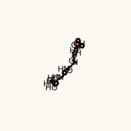 CN(CCCCC(=O)Nc1ccc(CNC[C@H](O)c2ccc(O)c3[nH]c(=O)sc23)cc1)C(=O)CCN1C[C@H]2CC(N(C(=O)O)c3ccccc3-c3ccccc3)C[C@H]2C1